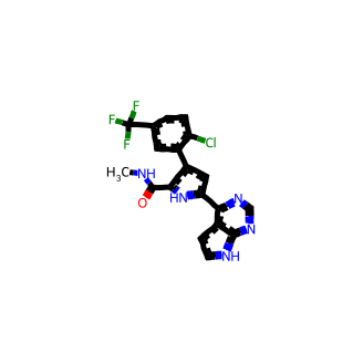 CNC(=O)c1[nH]c(-c2ncnc3[nH]ccc23)cc1-c1cc(C(F)(F)F)ccc1Cl